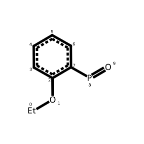 CCOc1ccccc1P=O